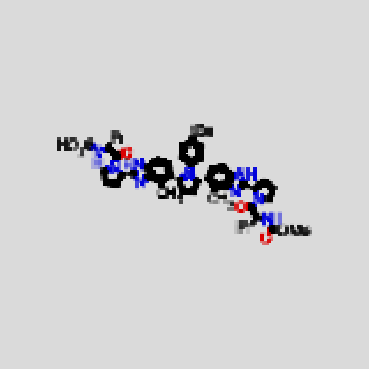 COC(=O)N[C@H](C(=O)N1CCC[C@H]1c1nc2c(C)c([C@@H]3CC[C@H](c4ccc5[nH]c([C@@H]6CCCN6C(=O)[C@@H](NC(=O)O)C(C)C)nc5c4C)N3c3ccc(C(C)(C)C)cc3)ccc2[nH]1)C(C)C